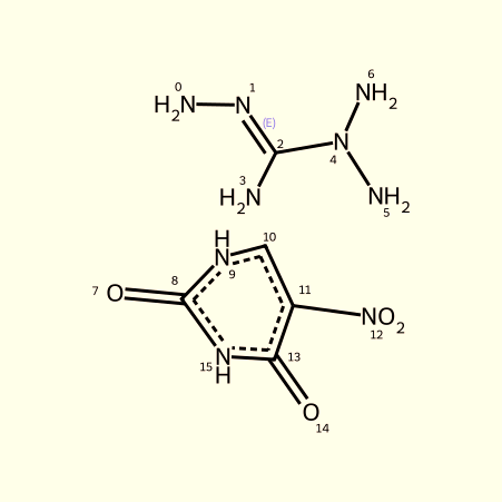 N/N=C(\N)N(N)N.O=c1[nH]cc([N+](=O)[O-])c(=O)[nH]1